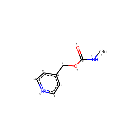 CCCCNC(=O)OCc1ccncc1